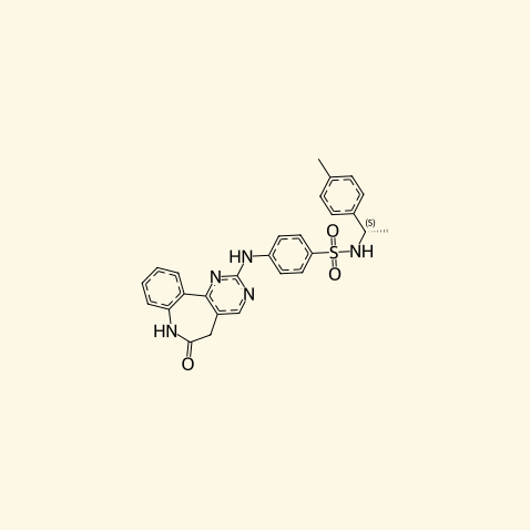 Cc1ccc([C@H](C)NS(=O)(=O)c2ccc(Nc3ncc4c(n3)-c3ccccc3NC(=O)C4)cc2)cc1